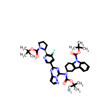 CC(C)(C)OC(=O)N1CCC[C@H]1c1ncc(-c2nc(N(C(=O)OC(C)(C)C)[C@@H]3CCc4c(c5ccccc5n4C(=O)OC(C)(C)C)C3)n3nccc3n2)cc1F